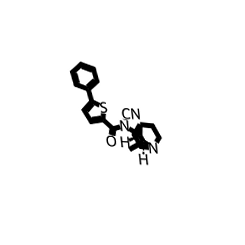 C[C@H]1[C@H](N(C#N)C(=O)c2ccc(-c3ccccc3)s2)C2CCN1CC2